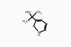 CC(C)(O)C1=CC=[C]NC1